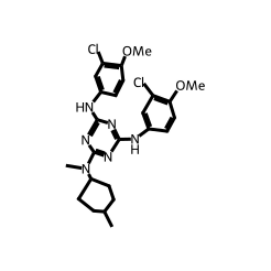 COc1ccc(Nc2nc(Nc3ccc(OC)c(Cl)c3)nc(N(C)C3CCC(C)CC3)n2)cc1Cl